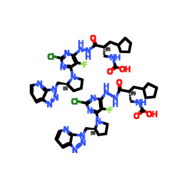 O=C(O)NC[C@@H](CC1CCCC1)C(=O)NNc1nc(Cl)nc(N2CCC[C@H]2Cn2nnc3cccnc32)c1F.O=C(O)NC[C@@H](CC1CCCC1)C(=O)NNc1nc(Cl)nc(N2CCC[C@H]2Cn2nnc3cccnc32)c1F